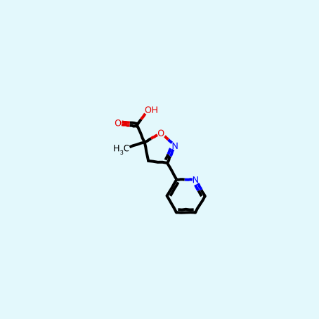 CC1(C(=O)O)CC(c2ccccn2)=NO1